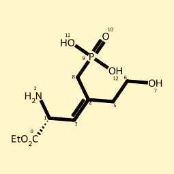 CCOC(=O)[C@H](N)C=C(CCO)CP(=O)(O)O